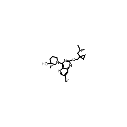 CN(C)CC1(COc2nc(N3CCC[C@@](C)(O)C3)c3ncc(Br)cc3n2)CC1